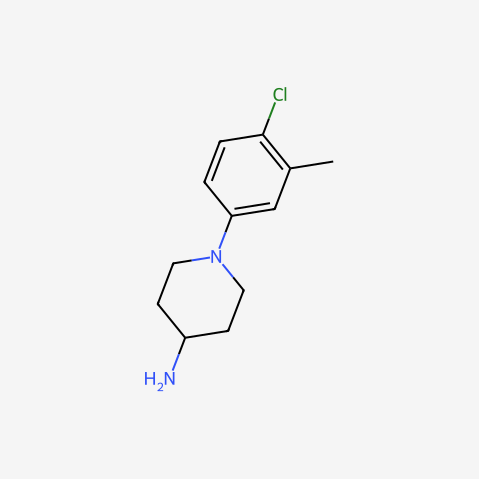 Cc1cc(N2CCC(N)CC2)ccc1Cl